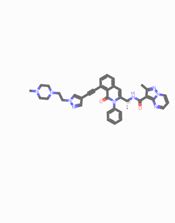 Cc1nn2cccnc2c1C(=O)N[C@H](C)c1cc2cccc(C#Cc3cnn(CCN4CCN(C)CC4)c3)c2c(=O)n1-c1ccccc1